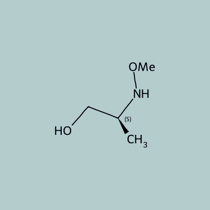 CON[C@@H](C)CO